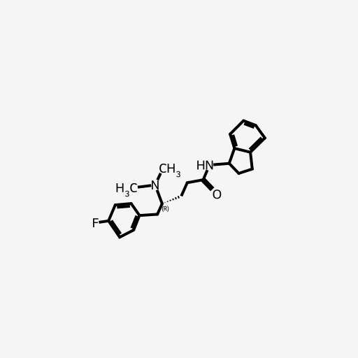 CN(C)[C@H](CCC(=O)NC1CCc2ccccc21)Cc1ccc(F)cc1